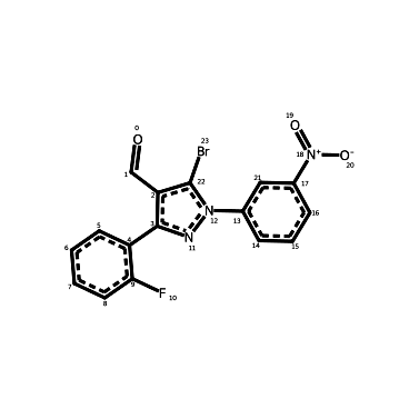 O=Cc1c(-c2ccccc2F)nn(-c2cccc([N+](=O)[O-])c2)c1Br